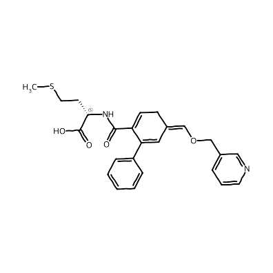 CSCC[C@H](NC(=O)C1=CCC(=COCc2cccnc2)C=C1c1ccccc1)C(=O)O